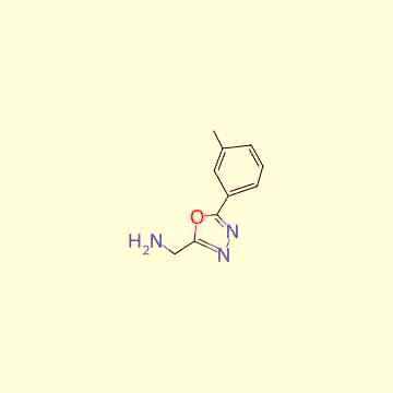 Cc1cccc(-c2nnc(CN)o2)c1